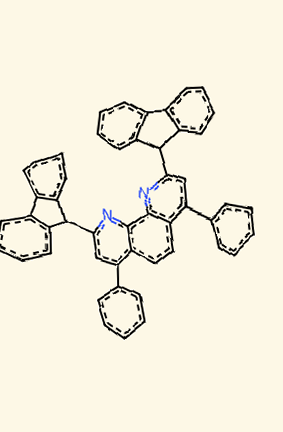 c1ccc(-c2cc(C3c4ccccc4-c4ccccc43)nc3c2ccc2c(-c4ccccc4)cc(C4c5ccccc5-c5ccccc54)nc23)cc1